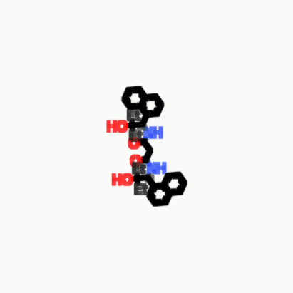 CCC(O)(CC)[C@@H](NC(=O)CC(=O)N[C@@H](c1cccc2ccccc12)C(O)(CC)CC)c1cccc2ccccc12